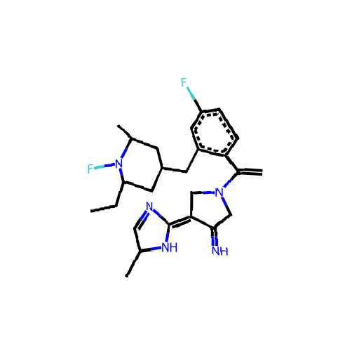 C=C(c1ccc(F)cc1CC1CC(C)N(F)C(CC)C1)N1CC(=N)/C(=C2/N=CC(C)N2)C1